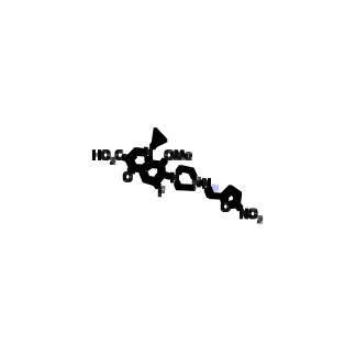 COc1c(N2CCN(/N=C/c3ccc([N+](=O)[O-])o3)CC2)c(F)cc2c(=O)c(C(=O)O)cn(C3CC3)c12